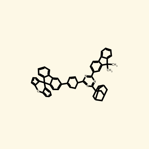 CC1(C)c2ccccc2-c2ccc(-c3nc(C4C=CC(c5ccc6c(c5)-c5ccccc5C65c6ccccc6Oc6ccccc65)=CC4)nc(C45CC6CC(CC(C6)C4)C5)n3)cc21